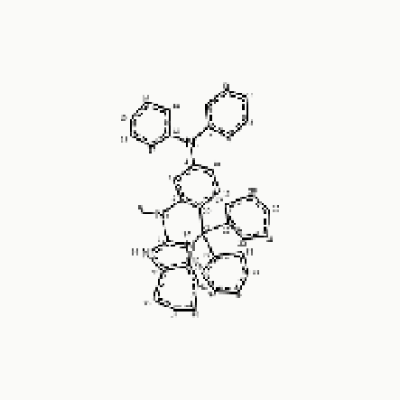 CN1c2cc(N(c3ccccc3)c3ccccc3)ccc2C(c2ccccc2)(c2ccccc2)n2c1nc1ccccc12